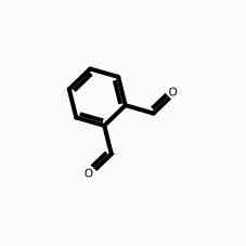 O=[C]c1ccccc1C=O